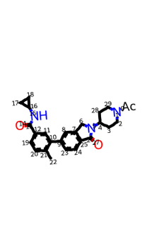 CC(=O)N1CCC(N2Cc3cc(-c4cc(C(=O)NC5CC5)ccc4C)ccc3C2=O)CC1